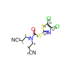 N#CCCN(CCC#N)C(=O)Sc1nc(Cl)c(Cl)s1